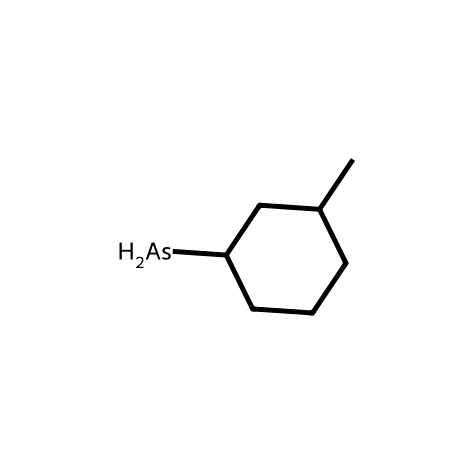 CC1CCCC([AsH2])C1